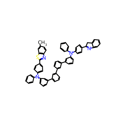 Cc1ccc2nc(-c3ccc(N(c4ccccc4)c4cccc(-c5cccc(-c6cccc(-c7cccc(N(c8ccccc8)c8ccc(C9=Nc%10ccccc%10C9)cc8)c7)c6)c5)c4)cc3)sc2c1